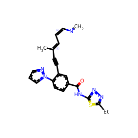 C=N/C=C\C=C(/C)C#Cc1cc(C(=O)Nc2nnc(CC)s2)ccc1-n1cccn1